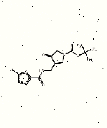 CC(C)(C)OC(=O)N1CC(=O)C(CNC(=O)c2ccc(Cl)s2)C1